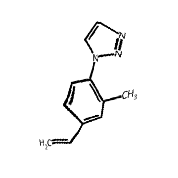 C=Cc1ccc(-n2ccnn2)c(C)c1